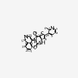 Cc1ncccc1-c1cc2[nH]c(=O)n(-c3cncc4ccccc34)c(=O)c2s1